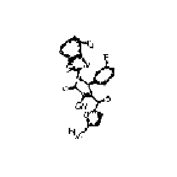 Cc1ccc(C(=O)C2=C(O)C(=O)N(c3nc4c(Cl)cccc4s3)C2c2cccc(F)c2)o1